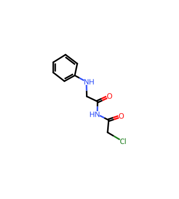 O=C(CCl)NC(=O)CNc1ccccc1